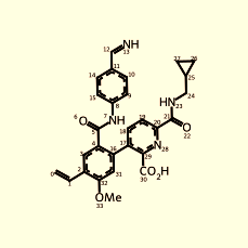 C=Cc1cc(C(=O)Nc2ccc(C=N)cc2)c(-c2ccc(C(=O)NCC3CC3)nc2C(=O)O)cc1OC